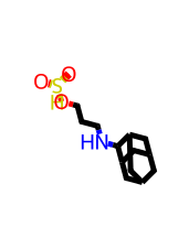 O=[SH](=O)OCCCNC1C2CC3CC(C2)CC1C3